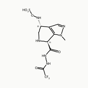 Cn1ncc2c1[C@@H](C(=O)NNC(=O)C(F)(F)F)NC[C@@H]2NOS(=O)(=O)O